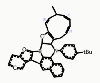 CC1/C=C\C=C/CC2=C(/C=C\1)OC1B3c4oc5ccccc5c4-c4cc5ccccc5c(c43)N(c3ccc(C(C)(C)C)cc3)C21